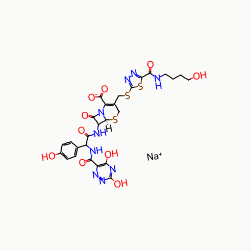 O=C([O-])C1=C(CSc2nnc(C(=O)NCCCCO)s2)CS[C@H]2C(NC(=O)C(NC(=O)c3nnc(O)nc3O)c3ccc(O)cc3)C(=O)N12.[Na+]